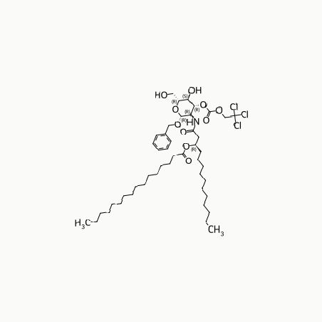 CCCCCCCCCCCCCCCC(=O)O[C@H](CCCCCCCCCCC)CC(=O)N[C@H]1[C@H](OCc2ccccc2)O[C@H](CO)[C@@H](O)[C@@H]1OC(=O)OCC(Cl)(Cl)Cl